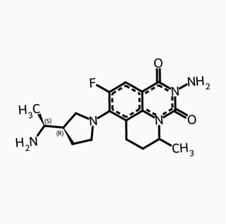 CC1CCc2c(N3CC[C@@H]([C@H](C)N)C3)c(F)cc3c(=O)n(N)c(=O)n1c23